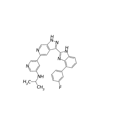 CC(C)Nc1cncc(-c2cc3c(-c4nc5c(-c6cccc(F)c6)cccc5[nH]4)n[nH]c3cn2)c1